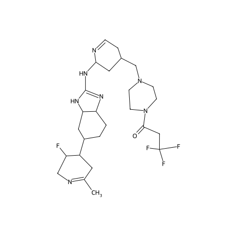 CC1=NCC(F)C(C2CCC3N=C(NC4CC(CN5CCN(C(=O)CC(F)(F)F)CC5)CC=N4)NC3C2)C1